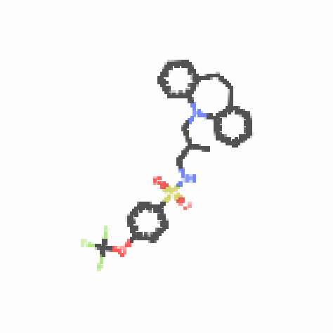 CC(CNS(=O)(=O)c1ccc(OC(F)(F)F)cc1)CN1c2ccccc2CCc2ccccc21